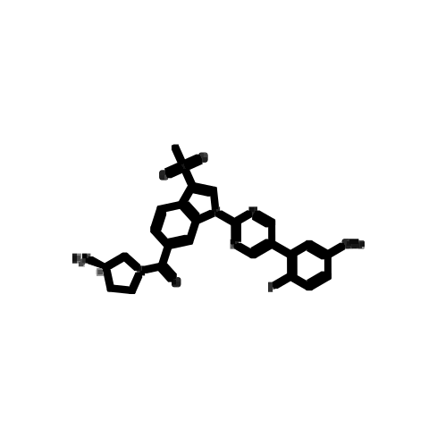 COc1ccc(F)c(-c2cnc(-n3cc(S(C)(=O)=O)c4ccc(C(=O)N5CC[C@@H](N)C5)cc43)nc2)c1